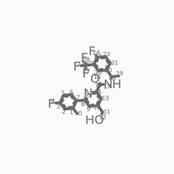 Cc1cc(F)ccc1-c1cc(CO)cc(C(=O)NC(C)c2ccc(F)c(C(F)(F)F)c2)n1